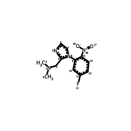 CN(C)Cc1nccn1-c1cc(F)ccc1[N+](=O)[O-]